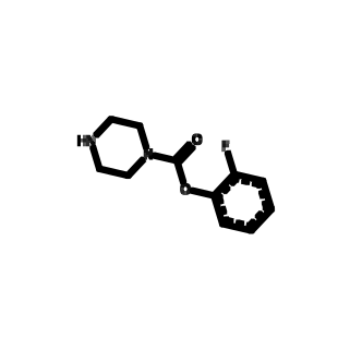 O=C(Oc1ccccc1F)N1CCNCC1